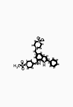 CS(=O)(=O)N1CCC(Nc2cc(CN3CCS(=O)(=O)CC3)cc3cc(-c4ccccc4)[nH]c23)CC1